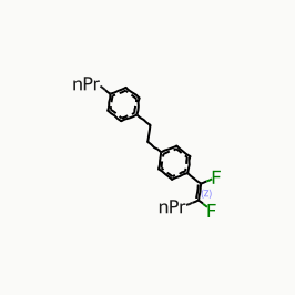 CCC/C(F)=C(/F)c1ccc(CCc2ccc(CCC)cc2)cc1